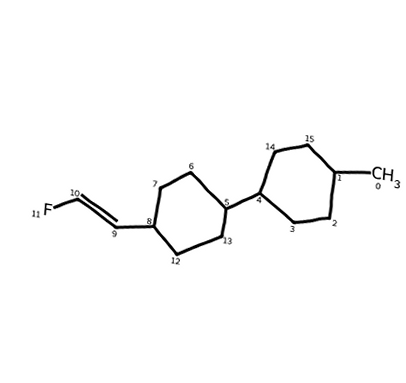 CC1CCC(C2CCC(/C=C/F)CC2)CC1